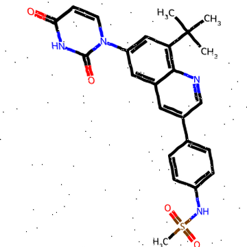 CC(C)(C)c1cc(-n2ccc(=O)[nH]c2=O)cc2cc(-c3ccc(NS(C)(=O)=O)cc3)cnc12